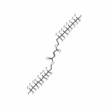 O=C(C=CC(=O)OCCC(F)(F)C(F)(F)C(F)(F)C(F)(F)C(F)(F)C(F)(F)C(F)(F)C(F)(F)F)OCCC(F)(F)C(F)(F)C(F)(F)C(F)(F)C(F)(F)C(F)(F)C(F)(F)C(F)(F)F